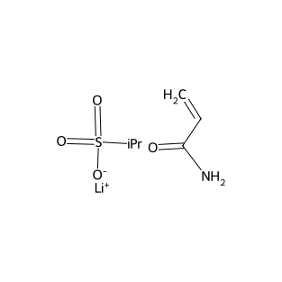 C=CC(N)=O.CC(C)S(=O)(=O)[O-].[Li+]